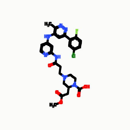 COC(=O)CC1CN(CCC(=O)Nc2cc(Nc3cc(-c4cc(Cl)ccc4F)nnc3C)ccn2)CCN1C(=O)O